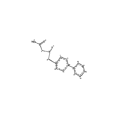 O=C(O)CC(F)Cc1ccc(-c2ccccc2)cc1